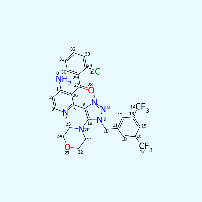 Nc1ccnc(-c2nnn(Cc3cc(C(F)(F)F)cc(C(F)(F)F)c3)c2N2CCOCC2)c1C(=O)c1ccccc1Cl